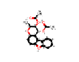 CC(=O)O[C@@H]1c2c(ccc3oc4ccccc4c23)OC(C)[C@H]1OC(C)=O